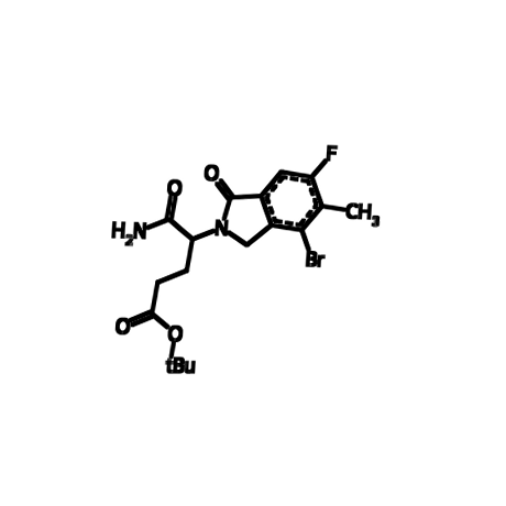 Cc1c(F)cc2c(c1Br)CN(C(CCC(=O)OC(C)(C)C)C(N)=O)C2=O